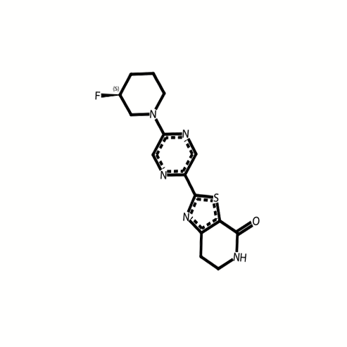 O=C1NCCc2nc(-c3cnc(N4CCC[C@H](F)C4)cn3)sc21